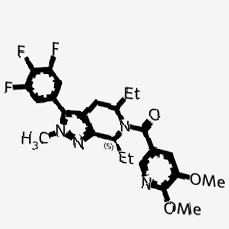 CCC1Cc2c(nn(C)c2-c2cc(F)c(F)c(F)c2)[C@H](CC)N1C(=O)c1cnc(OC)c(OC)c1